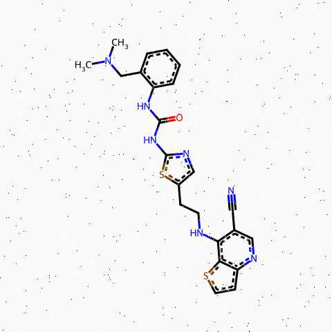 CN(C)Cc1ccccc1NC(=O)Nc1ncc(CCNc2c(C#N)cnc3ccsc23)s1